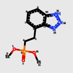 CCOP(=O)(CCc1cccc2[nH]nnc12)OCC